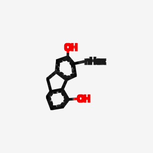 CCCCCCc1cc2c(cc1O)Cc1cccc(O)c1-2